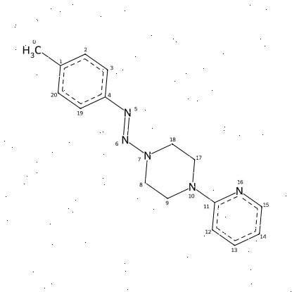 Cc1ccc(N=NN2CCN(c3ccccn3)CC2)cc1